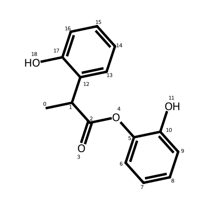 CC(C(=O)Oc1ccccc1O)c1ccccc1O